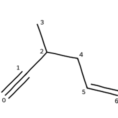 C#CC(C)CC=C